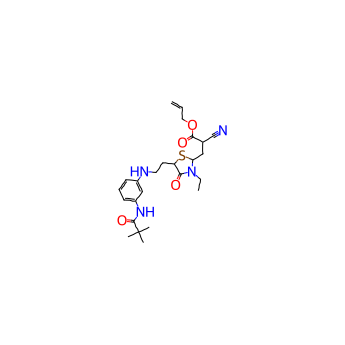 C=CCOC(=O)C(C#N)CC1SC(CCNc2cccc(NC(=O)C(C)(C)C)c2)C(=O)N1CC